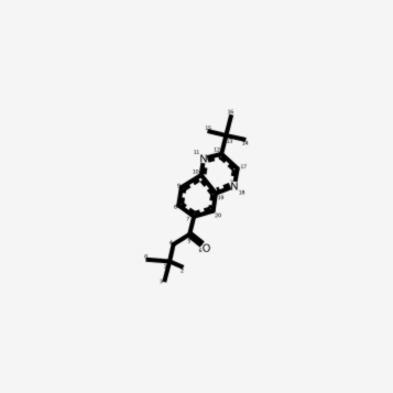 CC(C)(C)CC(=O)c1ccc2nc(C(C)(C)C)cnc2c1